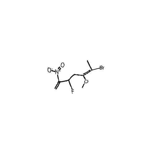 C=C(C(F)C/C(OC)=C(\C)Br)[N+](=O)[O-]